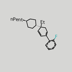 CCCCC[C@H]1CC[C@H](C2(CC)C=CC(c3ccccc3F)=CC2)CC1